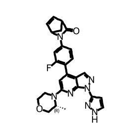 C[C@@H]1COCCN1c1cc(-c2ccc(N3C(=O)C4C=CC3C4)cc2F)c2cnn(-c3cc[nH]n3)c2n1